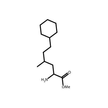 COC(=O)C(N)CC(C)CCC1CCCCC1